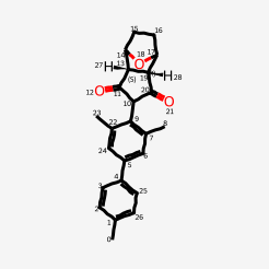 Cc1ccc(-c2cc(C)c(C3C(=O)[C@@H]4C5CCC(O5)[C@@H]4C3=O)c(C)c2)cc1